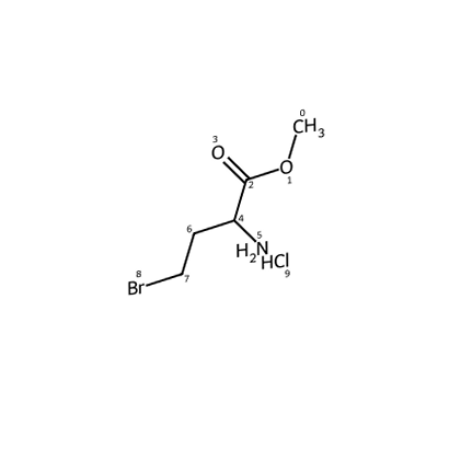 COC(=O)C(N)CCBr.Cl